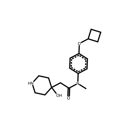 CN(C(=O)CC1(O)CCNCC1)c1ccc(OC2CCC2)cc1